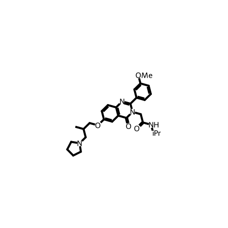 COc1cccc(-c2nc3ccc(OCC(C)CN4CCCC4)cc3c(=O)n2CC(=O)NC(C)C)c1